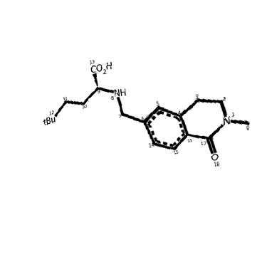 CN1CCc2cc(CN[C@@H](CCC(C)(C)C)C(=O)O)ccc2C1=O